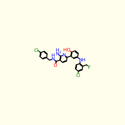 Nc1nc(-c2cc(Nc3ccc(Cl)cc3CF)ccc2O)ccc1C(=O)NCc1ccc(Cl)cc1